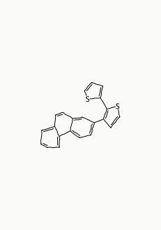 c1csc(-c2sccc2-c2ccc3c(ccc4ccccc43)c2)c1